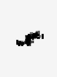 COc1cc2c(Nc3cc(O)c(Cl)cc3F)ncnc2cc1OCCn1ccnc1